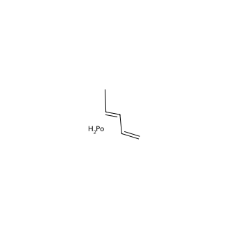 C=CC=CC.[PoH2]